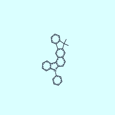 CC1(C)c2ccccc2-c2cc3c(ccc4c3c3ccccc3n4-c3ccccc3)cc21